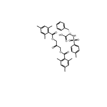 Cc1cc(C)c(C(=O)OCC(=O)COC(=O)c2c(C)cc(C)cc2C)c(C)c1.Cc1ccc(S(=O)(=O)N[C@@H](Cc2ccccc2)C(=O)O)cc1